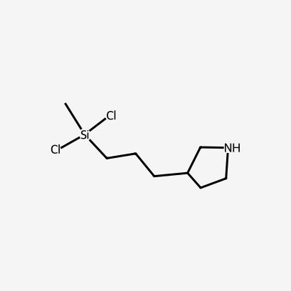 C[Si](Cl)(Cl)CCCC1CCNC1